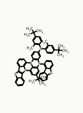 Cc1cc(C(C)(C)C)ccc1N(c1ccc2c(c1)N(c1cccc3sc4ccccc4c13)c1cc(C(C)(C)C)cc3c1B2c1cccc2c4sc5ccccc5c4n-3c12)c1ccc(C(C)(C)C)cc1C